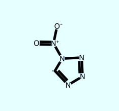 O=[N+]([O-])n1[c]nnn1